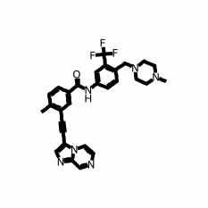 Cc1ccc(C(=O)Nc2ccc(CN3CCN(C)CC3)c(C(F)(F)F)c2)cc1C#Cc1cnc2cnccn12